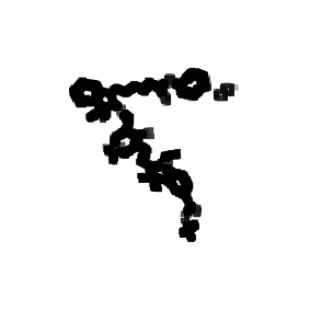 CC[N+]1=C(/C=C/C2=C(Cl)C(C=C=C3N(CCCCCC(=O)Oc4ccccc4)c4ccccc4C3(C)C)C[N+](C)(C)C2)C(C)(C)c2cc(C(=O)OC(C)(C)C)ccc21.[Cl-].[Cl-]